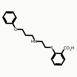 O=C(O)c1ccccc1SCCNCCCOc1ccccc1